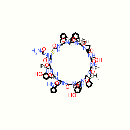 CCCC[C@H]1C(=O)N2CCC[C@@H]2C(=O)N[C@@H](CO)C(=O)N[C@@H](C(C)C)C(=O)N(C)[C@@H](Cc2ccccc2)C(=O)N[C@@H](Cc2ccc(O)cc2)C(=O)N(C)CC(=O)N[C@@H](Cc2c[nH]c3ccccc23)C(=O)N[C@@H](Cc2ccc(O)cc2)C(=O)N[C@@H](CC(C)C)C(=O)N[C@H](C(=O)NCC(N)=O)CSCC(=O)N[C@@H](Cc2ccccc2)C(=O)N(C)[C@@H](Cc2ccccc2)C(=O)N1C